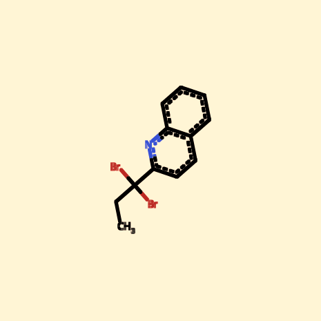 CCC(Br)(Br)c1ccc2ccccc2n1